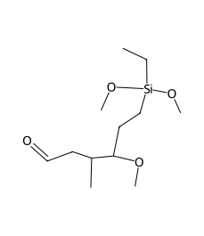 CC[Si](CCC(OC)C(C)CC=O)(OC)OC